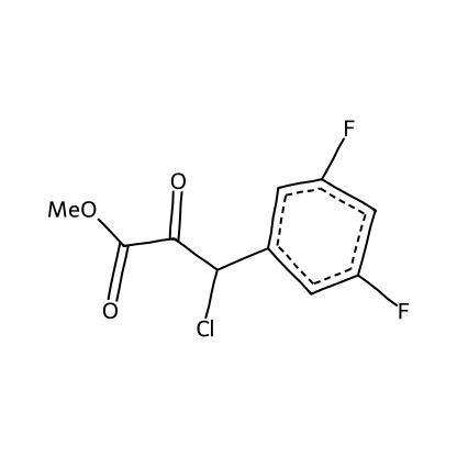 COC(=O)C(=O)C(Cl)c1cc(F)cc(F)c1